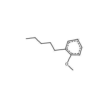 CCCCCc1c[c]ccc1OC